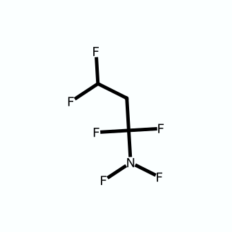 FC(F)CC(F)(F)N(F)F